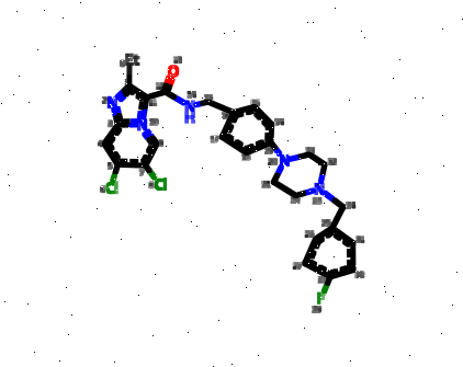 CCc1nc2cc(Cl)c(Cl)cn2c1C(=O)NCc1ccc(N2CCN(Cc3ccc(F)cc3)CC2)cc1